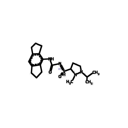 CC(C)N1CCC(/[SH](=O)=N/C(=O)Nc2c3c(cc4c2CCC4)CCC3)N1C